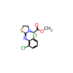 COC(=O)CN1CCS/C1=N/c1c(Cl)cccc1Cl